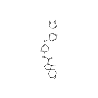 C=C1N(C(=O)Nc2ccc(Oc3ccnc(-c4cnn(C)c4)c3)cn2)CCC12CCOCC2